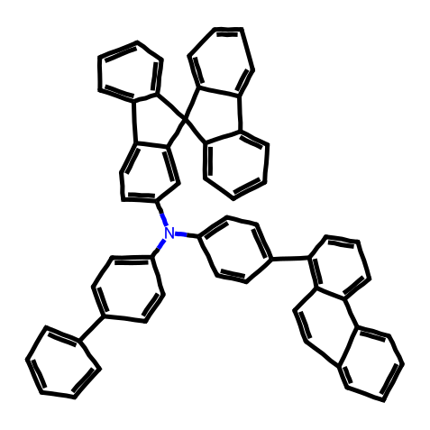 c1ccc(-c2ccc(N(c3ccc(-c4cccc5c4ccc4ccccc45)cc3)c3ccc4c(c3)C3(c5ccccc5-c5ccccc53)c3ccccc3-4)cc2)cc1